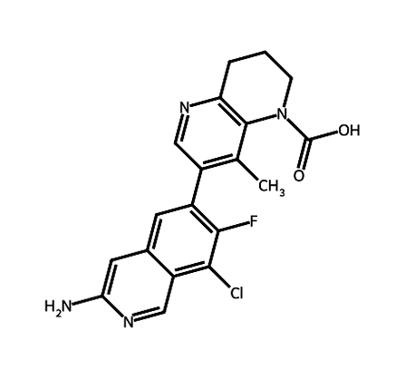 Cc1c(-c2cc3cc(N)ncc3c(Cl)c2F)cnc2c1N(C(=O)O)CCC2